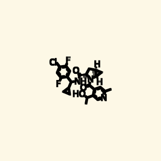 Cc1cc(C(=O)N2[C@@H](C(=O)NC(c3cc(F)c(Cl)cc3F)C3CC3)C[C@H]3C[C@H]32)c(C(C)O)cn1